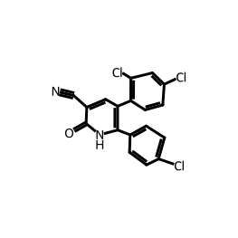 N#Cc1cc(-c2ccc(Cl)cc2Cl)c(-c2ccc(Cl)cc2)[nH]c1=O